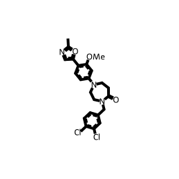 COc1cc(N2CCC(=O)N(Cc3ccc(Cl)c(Cl)c3)CC2)ccc1-c1cnc(C)o1